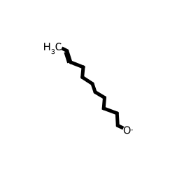 C/C=C/CCCCCCCC[O]